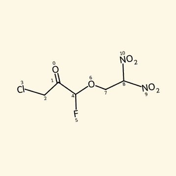 O=C(CCl)C(F)OCC([N+](=O)[O-])[N+](=O)[O-]